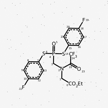 CCOC(=O)CN(CP(=O)(Sc1ccc(F)cc1)Sc1ccc(F)cc1)C(=O)C(F)(F)F